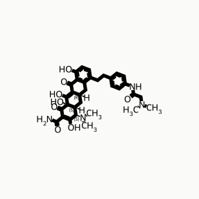 CN(C)CC(=O)Nc1ccc(CCc2ccc(O)c3c2C[C@H]2C[C@H]4[C@H](N(C)C)C(O)=C(C(N)=O)C(=O)[C@@]4(O)C(O)=C2C3=O)cc1